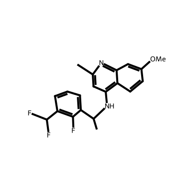 COc1ccc2c(NC(C)c3cccc(C(F)F)c3F)cc(C)nc2c1